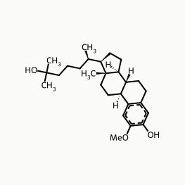 COc1cc2c(cc1O)CC[C@@H]1[C@@H]2CC[C@]2(C)[C@@H]([C@H](C)CCCC(C)(C)O)CC[C@@H]12